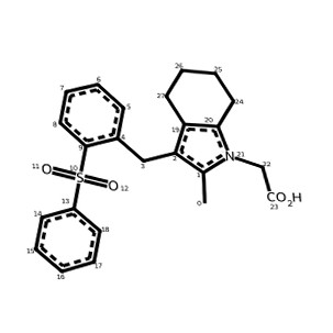 Cc1c(Cc2ccccc2S(=O)(=O)c2ccccc2)c2c(n1CC(=O)O)CCCC2